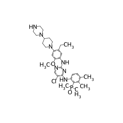 CCc1cc(Nc2ncc(Cl)c(Nc3ccc(C)c(C)c3P(C)(C)=O)n2)c(OC)cc1N1CCC(N2CCNCC2)CC1